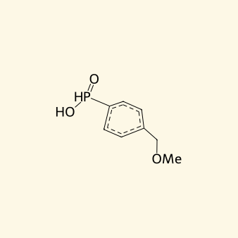 COCc1ccc([PH](=O)O)cc1